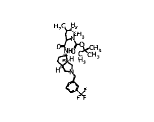 CC(C)CC(C(=O)N[C@H]1CC[C@@H]2CN(Cc3cccc(C(F)(F)F)c3)C[C@@H]21)N(C)C(=O)OC(C)(C)C